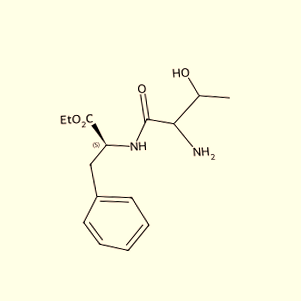 CCOC(=O)[C@H](Cc1ccccc1)NC(=O)C(N)C(C)O